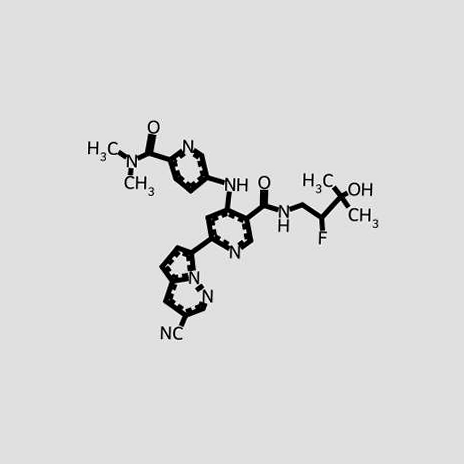 CN(C)C(=O)c1ccc(Nc2cc(-c3ccc4cc(C#N)cnn34)ncc2C(=O)NCC(F)C(C)(C)O)cn1